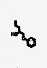 C=CCC(O)COc1ccccc1